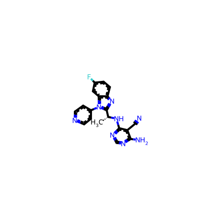 C[C@@H](Nc1ncnc(N)c1C#N)c1nc2ccc(F)cc2n1-c1ccncc1